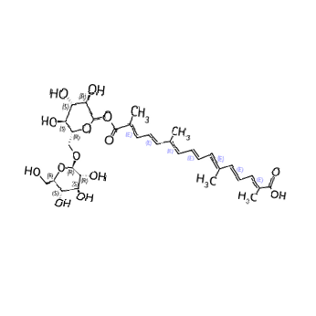 CC(/C=C/C=C(\C)C(=O)O)=C\C=C\C=C(C)\C=C\C=C(/C)C(=O)OC1O[C@H](CO[C@@H]2O[C@H](CO)[C@@H](O)[C@H](O)[C@H]2O)[C@@H](O)[C@H](O)[C@H]1O